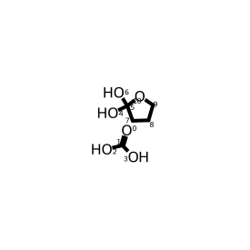 O=C(O)O.OC1(O)CCCO1